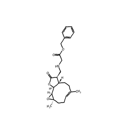 C/C1=C\CC[C@@]2(C)O[C@H]2[C@H]2OC(=O)[C@@H](CNCC(=O)OCc3ccccc3)[C@@H]2CC1